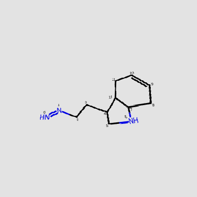 N=NCCC1CNC2CC=CCC12